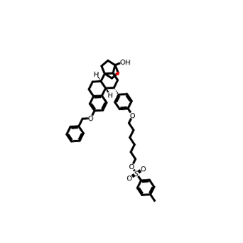 Cc1ccc(S(=O)(=O)OCCCCCCOc2ccc([C@H]3C[C@]4(C)C5(O)CCC4(CC5)[C@@H]4CCc5cc(OCc6ccccc6)ccc5[C@@H]34)cc2)cc1